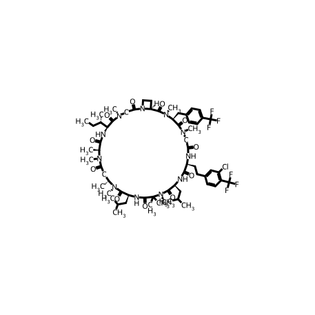 CC[C@H](C)[C@@H]1NC(=O)[C@H](C)N(C)C(=O)C[C@@H](C)N(C)C(=O)[C@H](CC(C)C)NC(=O)C(C)(C)N(C)C(=O)[C@H](CC(C)C)NC(=O)[C@H](CCc2ccc(C(F)(F)F)c(Cl)c2)NC(=O)CN(C)C(=O)[C@H](Cc2ccc(C(F)(F)F)cc2)N(C)C(=O)[C@@H]2CCN2C(=O)CN(C)C1=O